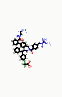 N=C(N)NCc1ccc(C(=O)N(CCC(c2ccccc2)c2ccccc2)Cc2ccc(-c3ccccc3C(=O)NCCN)cc2)cc1.O=C(O)C(F)(F)F